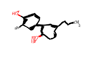 C=CCc1ccc(O)c(-c2ccc(O)c(CCC)c2)c1